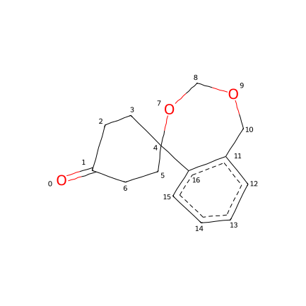 O=C1CCC2(CC1)OCOCc1ccccc12